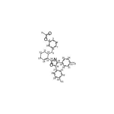 CC(=O)Oc1cccc(CC2CCCC=C2c2nc(-c3ccc(C)cc3)c(-c3ccc(C)cc3)o2)c1